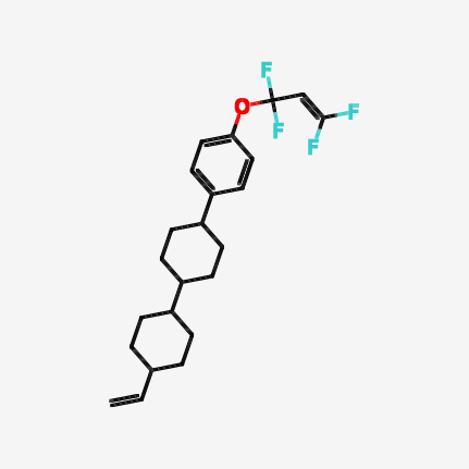 C=CC1CCC(C2CCC(c3ccc(OC(F)(F)C=C(F)F)cc3)CC2)CC1